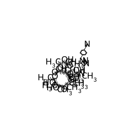 CC[C@H]1OC(=O)[C@H](C)[C@@H](C2C[C@@](C)(OC)[C@@H](O)[C@H](C)O2)[C@H](C)[C@@H](O[C@@H]2O[C@H](C)C[C@H](N(C)CCc3cn(Cc4ccc(C#N)cc4)nn3)[C@H]2O)[C@](C)(OC)C[C@@H](C)C(=O)[C@H](C)[C@@H](O)[C@]1(C)O